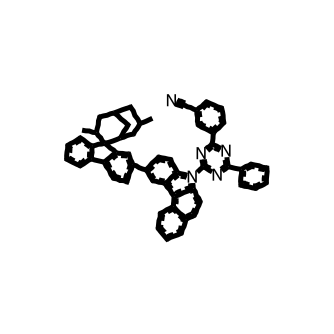 CC1CC2CC(C)C3(c4ccccc4-c4ccc(-c5ccc6c(c5)c5c7ccccc7ccc5n6-c5nc(-c6ccccc6)nc(-c6cccc(C#N)c6)n5)cc43)C(C1)C2